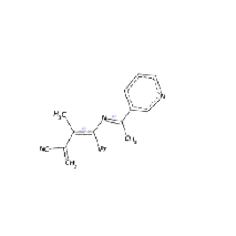 C=C(C#N)/C(C)=C(/N=C(\C)c1cccnc1)C(C)C